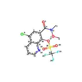 CON(C)C(=O)c1cc(Cl)c2cccnc2c1OS(=O)(=O)C(F)(F)F